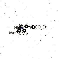 CCOC(=O)C1CCN(CCc2ccc(N/C(=C3\C(=O)Nc4cc(OC)c(OC)cc43)c3ccccc3)cc2)CC1